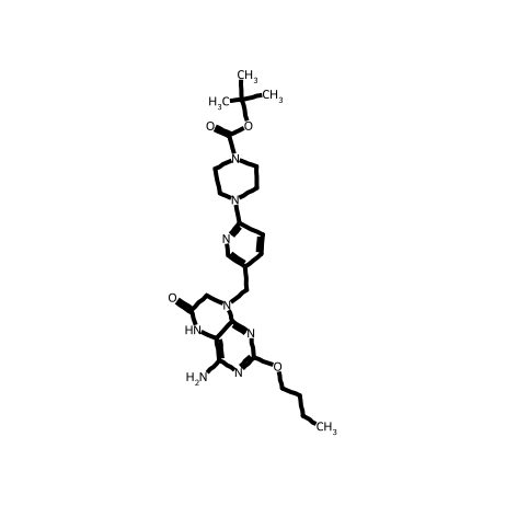 CCCCOc1nc(N)c2c(n1)N(Cc1ccc(N3CCN(C(=O)OC(C)(C)C)CC3)nc1)CC(=O)N2